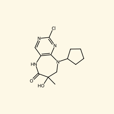 CC1(O)CN(C2CCCC2)c2nc(Cl)ncc2NC1=O